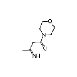 CC(=N)CC(=O)N1CCOCC1